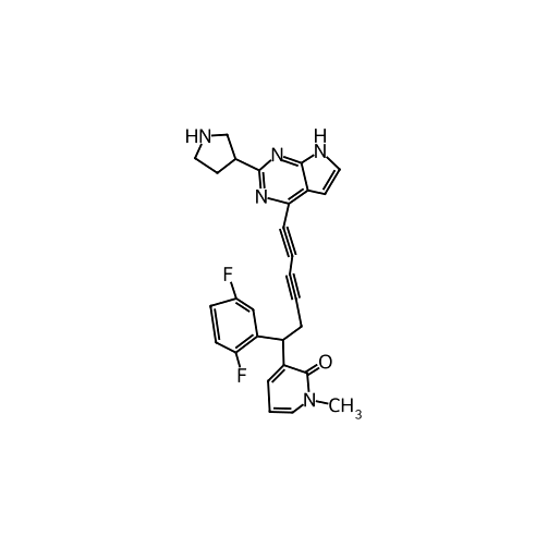 Cn1cccc(C(CC#CC#Cc2nc(C3CCNC3)nc3[nH]ccc23)c2cc(F)ccc2F)c1=O